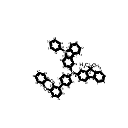 CC1(C)c2ccccc2-c2ccc(N(c3ccc(-c4cccc5c4Oc4ccccc4O5)cc3)c3ccc4c(c3)c3ccccc3n4-c3ccccc3)cc21